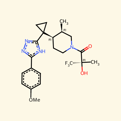 COc1ccc(-c2nnc(C3([C@@H]4CCN(C(=O)[C@@](C)(O)C(F)(F)F)C[C@@H]4C)CC3)[nH]2)cc1